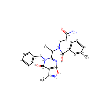 CCC(c1nc2onc(C)c2c(=O)n1Cc1ccccc1)N(CCC(N)=O)C(=O)c1cccc(C(F)(F)F)c1